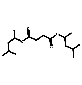 CC(C)CC(C)OC(=O)CCC(=O)OC(C)CC(C)C